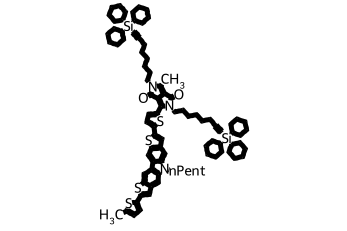 CCCCCn1c2cc3cc(-c4ccc(C)s4)sc3cc2c2cc3sc(-c4ccc(C5=C6C(=O)N(CCCCCCC#C[Si](C7CCCCC7)(C7CCCCC7)C7CCCCC7)C(C)=C6C(=O)N5CCCCCCC#C[Si](C5CCCCC5)(C5CCCCC5)C5CCCCC5)s4)cc3cc21